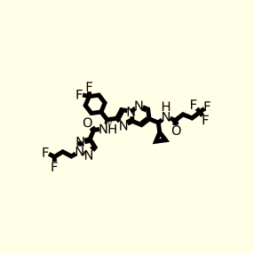 O=C(CCC(F)(F)F)NC(c1cnn2cc([C@@H](NC(=O)c3cnn(CCC(F)F)n3)C3CCC(F)(F)CC3)nc2c1)C1CC1